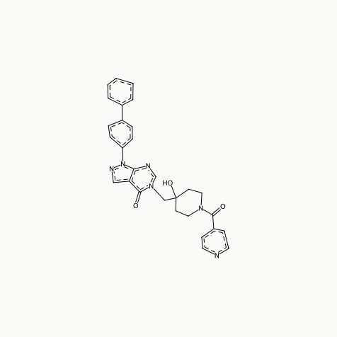 O=C(c1ccncc1)N1CCC(O)(Cn2cnc3c(cnn3-c3ccc(-c4ccccc4)cc3)c2=O)CC1